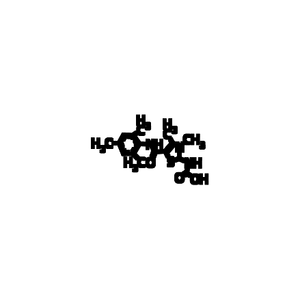 CC1=C(C(=O)Nc2c(C)cc(C)cc2C)SC(NC(=O)O)N1C